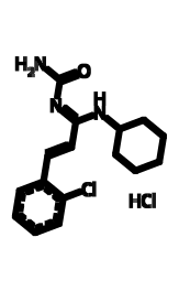 Cl.NC(=O)N=C(C=Cc1ccccc1Cl)NC1CCCCC1